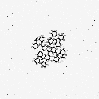 CC1(C)c2ccccc2N(c2ccc3c(-c4ccc5c(c4)C(c4ccccc4)(c4ccccc4)c4ccccc4-5)c4cc(N5c6ccccc6C(C)(C)c6ccccc65)ccc4c(-c4ccc5c(c4)C(C4=CCCC=C4)(c4ccccc4)c4ccccc4-5)c3c2)c2ccccc21